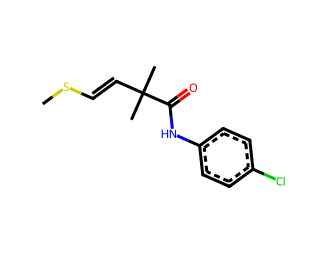 CS/C=C/C(C)(C)C(=O)Nc1ccc(Cl)cc1